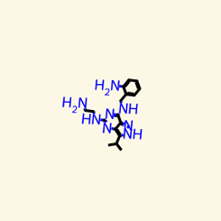 CC(C)c1[nH]nc2c(NCc3ccccc3N)nc(NCCN)nc12